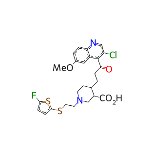 COc1ccc2ncc(Cl)c(C(=O)CCC3CCN(CCSc4ccc(F)s4)CC3C(=O)O)c2c1